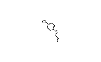 C=CCSc1ccc(Cl)cc1